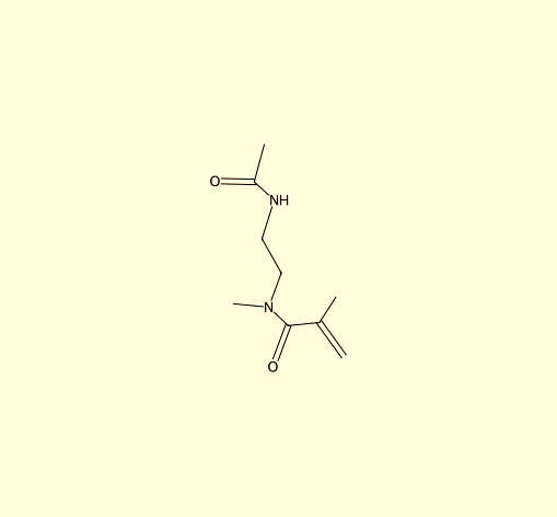 C=C(C)C(=O)N(C)CCNC(C)=O